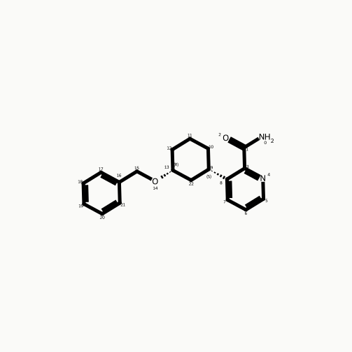 NC(=O)c1ncccc1[C@H]1CCC[C@@H](OCc2ccccc2)C1